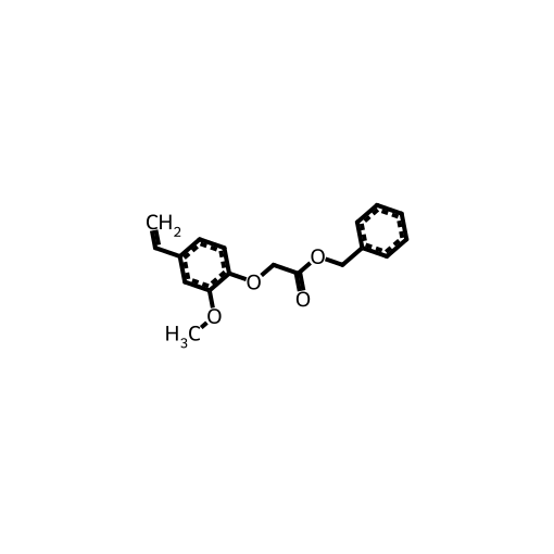 C=Cc1ccc(OCC(=O)OCc2ccccc2)c(OC)c1